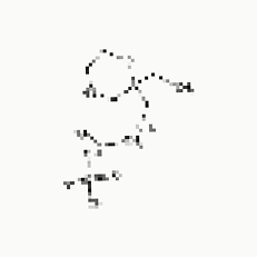 CCC1(CC)CNCCO1.CCN.O=S(=O)(O)O